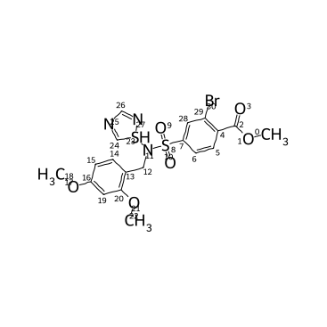 COC(=O)c1ccc(S(=O)(=O)N(Cc2ccc(OC)cc2OC)[SH]2C=NC=N2)cc1Br